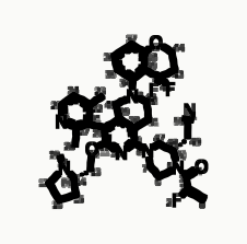 C=C(F)C(=O)N1CCN(c2nc(OC[C@@H]3CCCN3C)c(-c3c(C)ccnc3C)c3c2CCN(c2cccc4c2C(F)(F)CCO4)C3)C[C@@H]1CC#N